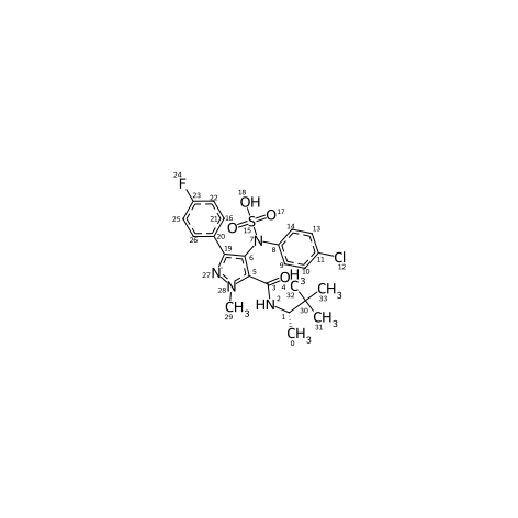 C[C@H](NC(=O)c1c(N(c2ccc(Cl)cc2)S(=O)(=O)O)c(-c2ccc(F)cc2)nn1C)C(C)(C)C